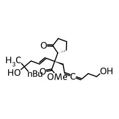 CCCCC(C)(O)C/C=C/[C@@](CC=C=CCCO)(C(=O)OC)[C@H]1CCCC1=O